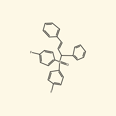 O=P(c1ccc(F)cc1)(c1ccc(F)cc1)C(C=Cc1ccccc1)c1ccccc1